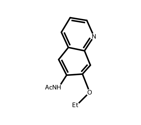 CCOc1cc2ncccc2cc1NC(C)=O